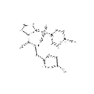 O=C(NCc1ccc(C(F)(F)F)cc1)C1CCCN1S(=O)(=O)c1ccc(F)cc1